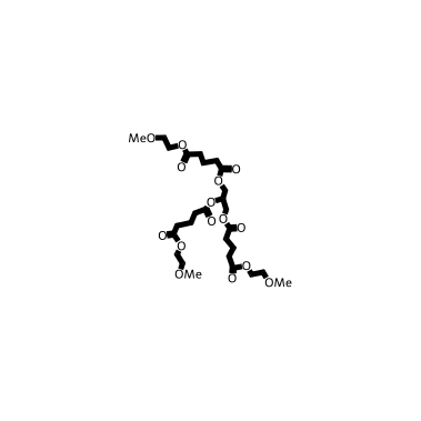 COCCOC(=O)CCCC(=O)OCC(COC(=O)CCCC(=O)OCCOC)OC(=O)CCCC(=O)OCCOC